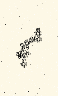 CN(C)CC[C@H](CSc1ccccc1)Nc1ccc(CNC(=O)c2ccc(N3CCN(Cc4ccccc4-c4ccc(Cl)cc4)CC3)cc2)cc1[N+](=O)[O-]